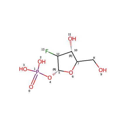 O=P(O)(O)O[C@H]1OC(CO)[C@@H](O)C1F